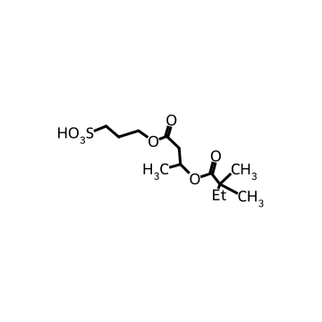 CCC(C)(C)C(=O)OC(C)CC(=O)OCCCS(=O)(=O)O